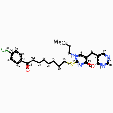 COCCn1cc(Cc2cncnc2)c(=O)nc1SCCCCCCCC(=O)c1ccc(Cl)cc1